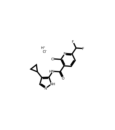 O=C(Nc1[nH]ncc1C1CC1)c1ccc(C(F)F)nc1Cl.[Cl-].[H+]